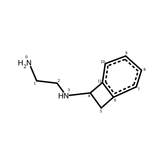 NCCNC1Cc2ccccc21